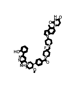 CO[C@@H]1CCN(c2cc(-c3ccccc3O)nnc2N)C[C@H]1c1ccc(C(=O)N2CCC(F)(CN3CCC(n4ccc5c(C)c(N6CCC(=O)NC6=O)ccc54)CC3)CC2)cc1